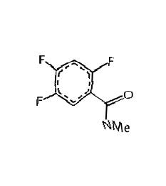 CNC(=O)c1cc(F)c(F)cc1F